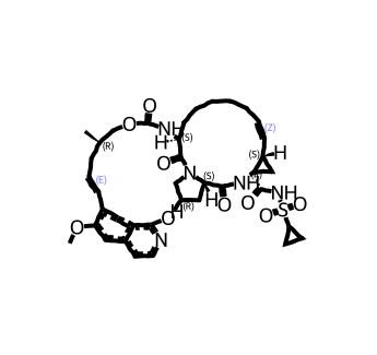 COc1cc2ccnc3c2cc1/C=C/C[C@@H](C)COC(=O)N[C@H]1CCCCC/C=C\[C@@H]2C[C@@]2(C(=O)NS(=O)(=O)C2CC2)NC(=O)[C@@H]2C[C@H](CN2C1=O)O3